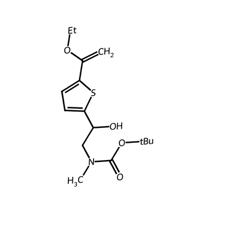 C=C(OCC)c1ccc(C(O)CN(C)C(=O)OC(C)(C)C)s1